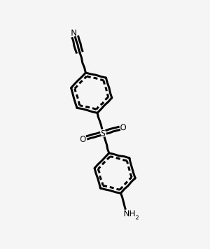 N#Cc1ccc(S(=O)(=O)c2ccc(N)cc2)cc1